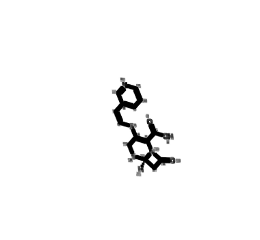 O=C(O)C1=C(S/C=C\c2cccnc2)CS[C@@H]2CC(=O)N12